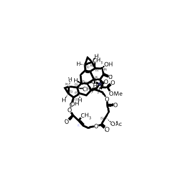 COC(=O)/C(C)=C1\C(=O)[C@H](O)[C@]2(C)C3=C(C[C@@H]4[C@]5(OC(=O)C6=C5C[C@H]5[C@](O)(COC(=O)/C(C)=C/COC(=O)[C@@H](OC(C)=O)CC(=O)OC6)[C@H]6C[C@H]6[C@]45C)[C@H]31)[C@H]1C[C@H]12